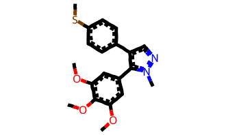 COc1cc(-c2c(-c3ccc(SC)cc3)cnn2C)cc(OC)c1OC